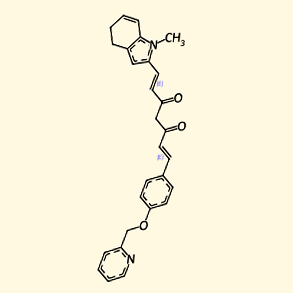 Cn1c(/C=C/C(=O)CC(=O)/C=C/c2ccc(OCc3ccccn3)cc2)cc2c1C=CCC2